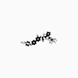 CN1CCN(Sc2ccc(-c3ccc(C[C@@H](C#N)NC(=O)C4C5CCC(C5)N4C(=O)OC(C)(C)C)c(F)c3)cc2)CC1